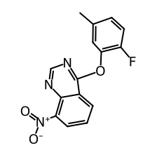 Cc1ccc(F)c(Oc2ncnc3c([N+](=O)[O-])cccc23)c1